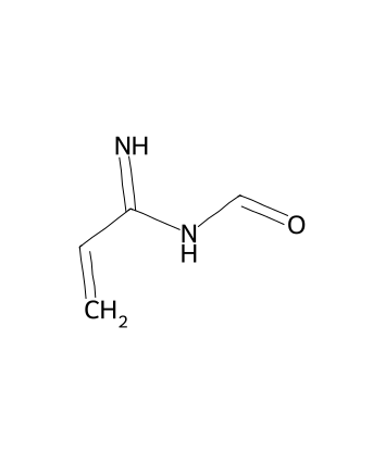 C=CC(=N)NC=O